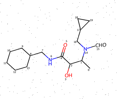 CC(C(O)C(=O)NCC1CCCCC1)N(C=O)CC1CC1